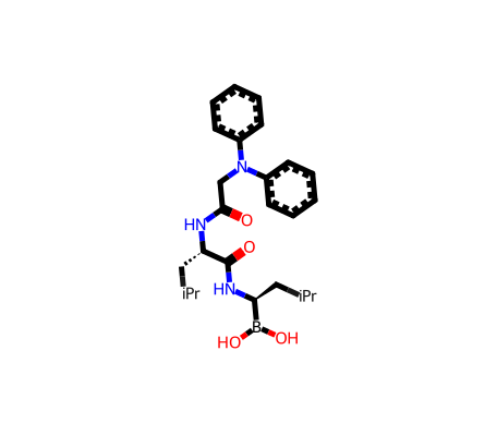 CC(C)C[C@H](NC(=O)[C@H](CC(C)C)NC(=O)CN(c1ccccc1)c1ccccc1)B(O)O